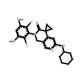 COc1cc(OC)c(F)c(N2Cc3cnc(NC4CCCCC4)cc3C3(CC3)C2=O)c1F